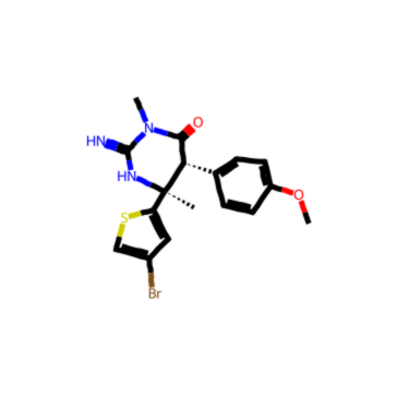 COc1ccc([C@H]2C(=O)N(C)C(=N)N[C@]2(C)c2cc(Br)cs2)cc1